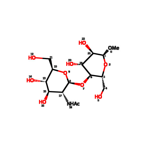 CO[C@H]1O[C@H](CO)[C@@H](O[C@@H]2O[C@H](CO)[C@@H](O)[C@H](O)[C@H]2NC(C)=O)[C@H](O)[C@H]1O